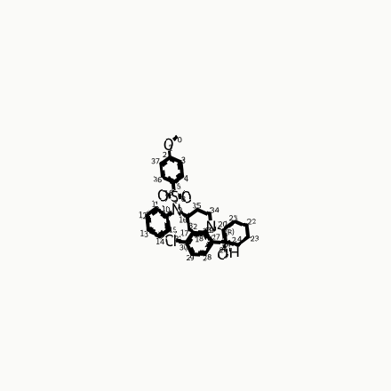 COc1ccc(S(=O)(=O)N(c2ccccc2)C2CCN([C@@H]3CCCC[C@]3(O)c3ccc(Cl)cc3)CC2)cc1